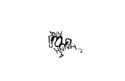 CCNC(=O)c1ccc(C(N)=O)c(NCC2CC2)c1